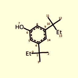 CCC(C)(C)c1cc(O)cc(C(C)(C)CC)c1